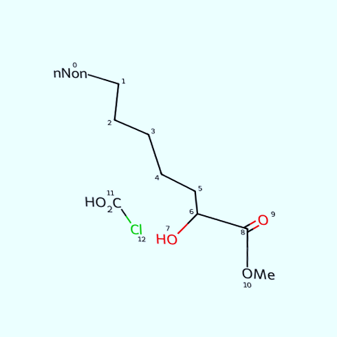 CCCCCCCCCCCCCCC(O)C(=O)OC.O=C(O)Cl